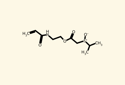 C=CC(=O)NCCOC(=O)C[S+]([O-])C(C)C